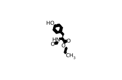 CCCOC(=O)[C@H](Cc1ccc(O)cc1)NC=O